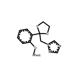 CCCCCOc1ccccc1C1(Cn2cncn2)OCCS1